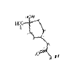 CC1(O)CCC(CC(=O)O)CC1